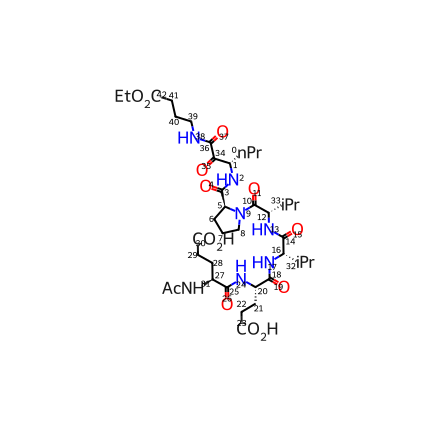 CCC[C@H](NC(=O)[C@@H]1CCCN1C(=O)[C@@H](NC(=O)[C@@H](NC(=O)[C@H](CCC(=O)O)NC(=O)[C@H](CCC(=O)O)NC(C)=O)C(C)C)C(C)C)C(=O)C(=O)NCCCC(=O)OCC